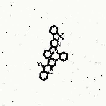 CC1(C)c2ccccc2-c2cc3c4ccccc4n(-c4ccccc4-c4ccc5c(=O)c6ccccc6oc5c4)c3nc21